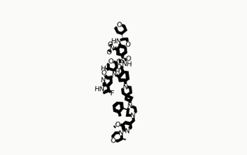 COc1cc(CN2CCN(C3CC4(CCN(c5ccc(C(=O)NS(=O)(=O)c6cc7c(c([N+](=O)[O-])c6)N[C@H](C6CCOCC6)CO7)c(N6c7cc8c(F)c[nH]c8nc7O[C@H]7COCC[C@@H]76)c5)CC4)C3)[C@H](c3ccccc3C)C2)cnc1N1CCOC[C@@H]1C